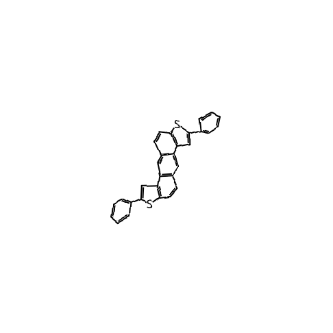 c1ccc(-c2cc3c(ccc4cc5c(ccc6sc(-c7ccccc7)cc65)cc43)s2)cc1